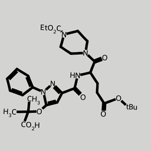 CCOC(=O)N1CCN(C(=O)C(CCC(=O)OC(C)(C)C)NC(=O)c2cc(OC(C)(C)C(=O)O)n(-c3ccccc3)n2)CC1